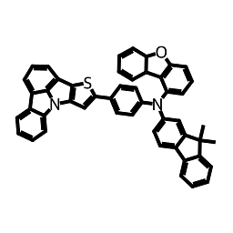 CC1(C)c2ccccc2-c2ccc(N(c3ccc(-c4cc5c(s4)c4cccc6c7ccccc7n5c64)cc3)c3cccc4c3C3C=CC=CC3O4)cc21